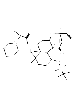 C=C[C@@]1(C)CC(=O)[C@]2(O)[C@@]3(C)[C@@H](O[Si](C)(C)C(C)(C)C)CCC(C)(C)[C@@H]3[C@H](OC(=O)C(C)N3CCCCC3)[C@H](O)[C@@]2(C)O1